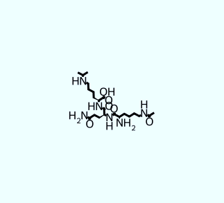 CC(=O)NCCCC[C@H](N)C(=O)N[C@@H](CCC(N)=O)C(=O)N[C@@H](CCCCNC(C)C)C(=O)O